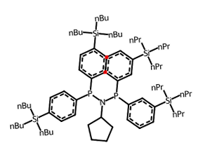 CCCC[Si](CCCC)(CCCC)c1ccc(P(c2ccc([Si](CCCC)(CCCC)CCCC)cc2)N(C2CCCC2)P(c2cccc([Si](CCC)(CCC)CCC)c2)c2cccc([Si](CCC)(CCC)CCC)c2)cc1